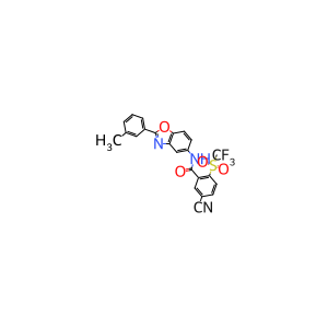 Cc1cccc(-c2nc3cc(NC(=O)c4cc(C#N)ccc4S(=O)(=O)C(F)(F)F)ccc3o2)c1